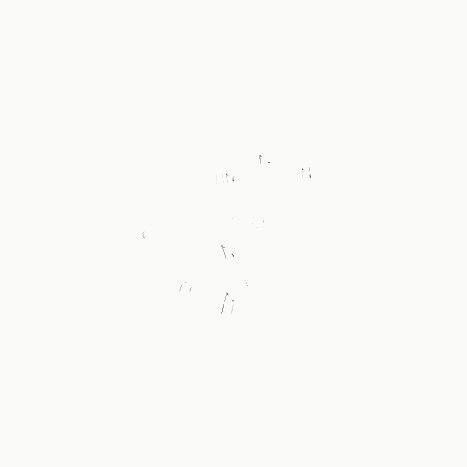 CC1CCC2(CC1)NC(=O)c1c(Cl)cc(Nc3ccncn3)c(=O)n12